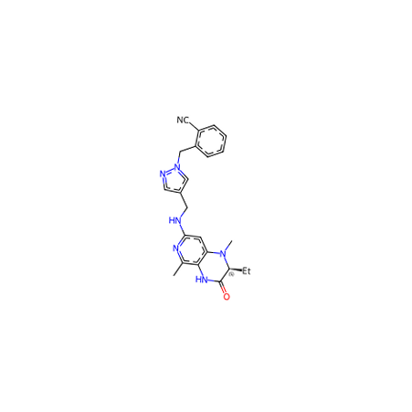 CC[C@H]1C(=O)Nc2c(cc(NCc3cnn(Cc4ccccc4C#N)c3)nc2C)N1C